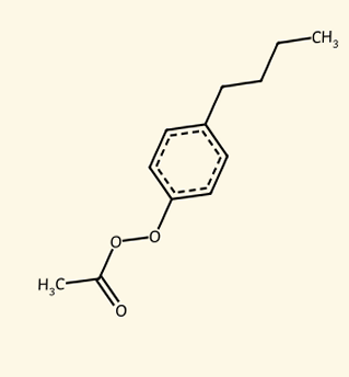 CCCCc1ccc(OOC(C)=O)cc1